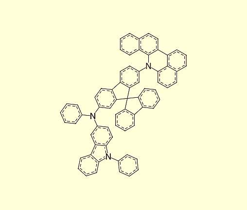 c1ccc(N(c2ccc3c(c2)C2(c4ccccc4-c4ccccc42)c2cc(N4c5c(ccc6ccccc56)-c5cccc6cccc4c56)ccc2-3)c2ccc3c(c2)c2ccccc2n3-c2ccccc2)cc1